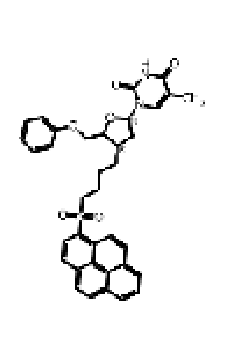 Cc1cn([C@H]2C[C@@H](CCCCS(=O)(=O)c3ccc4ccc5cccc6ccc3c4c56)C(COc3ccccc3)O2)c(=O)[nH]c1=O